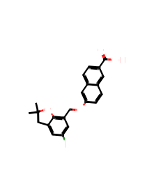 CC1(C)Cc2cc(F)cc(COc3ccc4cc(C(=O)O)ccc4c3)c2O1